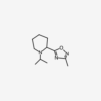 Cc1noc(C2CCCCN2C(C)C)n1